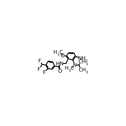 COc1ccc(N)c(N(C)C(C)C)c1CNC(=O)c1ccc(C(F)F)c(F)c1